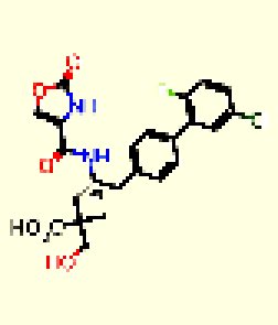 CC(CO)(C[C@@H](Cc1ccc(-c2cc(Cl)ccc2F)cc1)NC(=O)c1coc(=O)[nH]1)C(=O)O